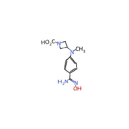 CN(c1ccc(C(N)=NO)cc1)C1CN(C(=O)O)C1